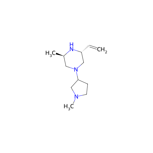 C=C[C@@H]1CN(C2CCN(C)C2)C[C@@H](C)N1